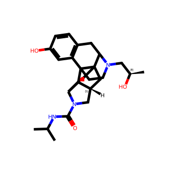 CC(C)NC(=O)N1C[C@H]2CC34CCC1C2C31CCN(C[C@@H](C)O)C4Cc2ccc(O)cc21